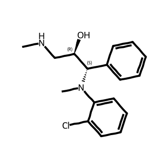 CNC[C@@H](O)[C@H](c1ccccc1)N(C)c1ccccc1Cl